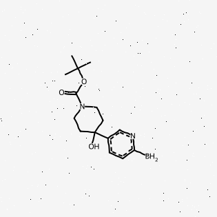 Bc1ccc(C2(O)CCN(C(=O)OC(C)(C)C)CC2)cn1